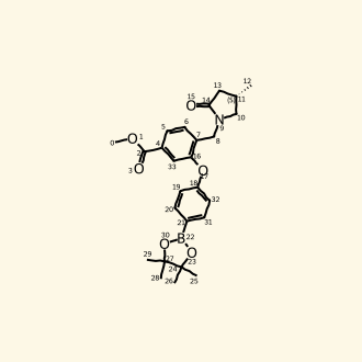 COC(=O)c1ccc(CN2C[C@@H](C)CC2=O)c(Oc2ccc(B3OC(C)(C)C(C)(C)O3)cc2)c1